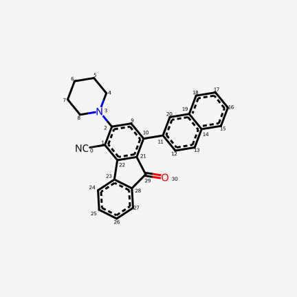 N#Cc1c(N2CCCCC2)cc(-c2ccc3ccccc3c2)c2c1-c1ccccc1C2=O